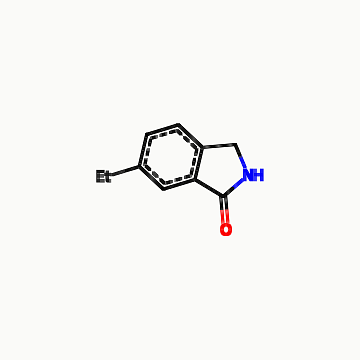 CCc1ccc2c(c1)C(=O)NC2